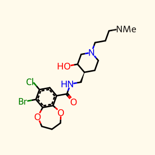 CNCCCN1CC[C@@H](CNC(=O)c2cc(Cl)c(Br)c3c2OCCCO3)C(O)C1